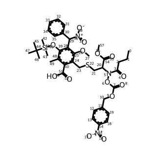 CCCC(=O)N(OC(=O)OCc1ccc([N+](=O)[O-])cc1)C(CSCc1c(OC)c(C(c2ccccc2)[N+](=O)[O-])c(O[Si](C)(C)C(C)(C)C)c(C)c1C(=O)O)C(=O)OC